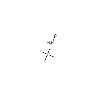 F[B-](F)(F)F.N[O]